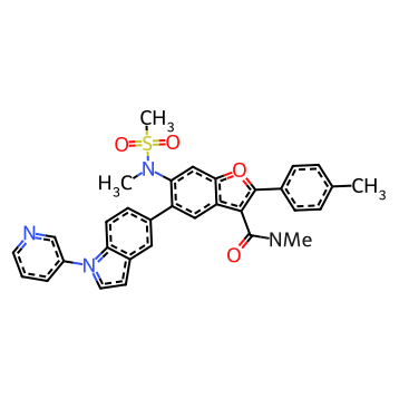 CNC(=O)c1c(-c2ccc(C)cc2)oc2cc(N(C)S(C)(=O)=O)c(-c3ccc4c(ccn4-c4cccnc4)c3)cc12